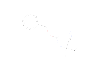 CC(C#N)(CF)NC(=O)OCc1ccccc1